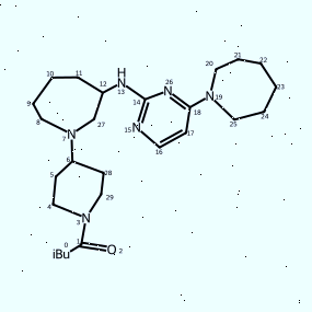 CCC(C)C(=O)N1CCC(N2CCCCC(Nc3nccc(N4CCCCCC4)n3)C2)CC1